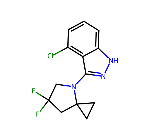 FC1(F)CN(c2n[nH]c3cccc(Cl)c23)C2(CC2)C1